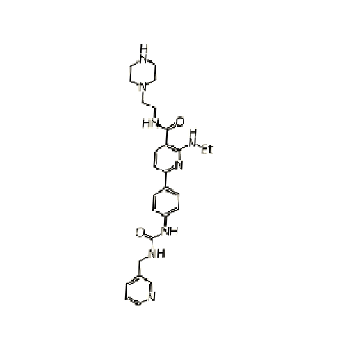 CCNc1nc(-c2ccc(NC(=O)NCc3cccnc3)cc2)ccc1C(=O)NCCN1CCNCC1